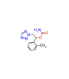 Cc1ccccc1C(Cn1ncnn1)OC(N)=O